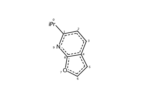 CC(C)c1ccc2ccoc2n1